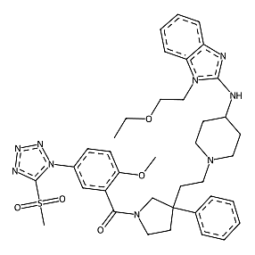 CCOCCn1c(NC2CCN(CCC3(c4ccccc4)CCN(C(=O)c4cc(-n5nnnc5S(C)(=O)=O)ccc4OC)C3)CC2)nc2ccccc21